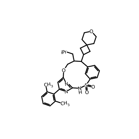 Cc1cccc(C)c1-c1cc2nc(n1)NS(=O)(=O)c1cccc(c1)C(C1CC3(CCOCC3)C1)C(CC(C)C)CO2